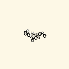 CCS(=O)(=O)c1ccc(CNC(=O)c2ccc3c(c2)Nc2ccc(Oc4ccccc4)cc2S3)cc1